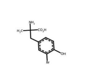 CC(N)(Cc1ccc(O)c(Br)c1)C(=O)O